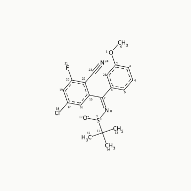 COc1cccc(/C(=N/[S+]([O-])C(C)(C)C)c2cc(Cl)cc(F)c2C#N)c1